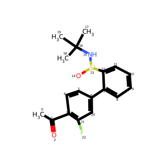 CC(=O)c1ccc(-c2ccccc2[S+]([O-])NC(C)(C)C)cc1F